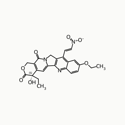 CCOc1ccc2nc3c(c(C=C[N+](=O)[O-])c2c1)Cn1c-3cc2c(c1=O)COC(=O)[C@]2(O)CC